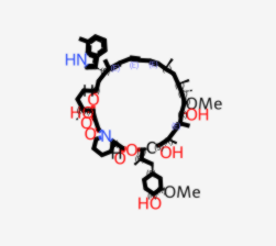 CO[C@H]1[C@@H](C)[C@H](C)C[C@H](C)/C=C/C=C/C=C(\C)[C@@H](c2c[nH]c3c(C)cccc23)C[C@@H]2CC[C@@H](C)[C@@](O)(O2)C(=O)C(=O)N2CCCC[C@H]2C(=O)O[C@H]([C@H](C)C[C@@H]2CC[C@@H](O)[C@H](OC)C2)C[C@H](O)[C@H](C)/C=C(\C)[C@H]1O